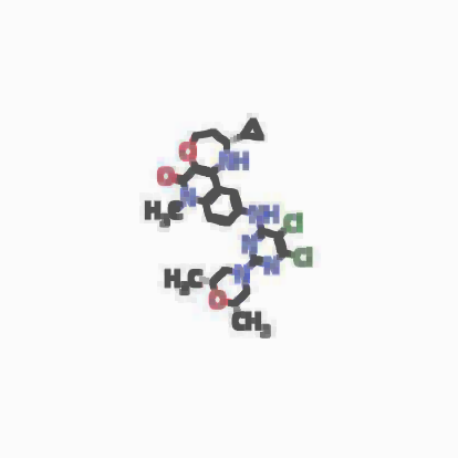 C[C@@H]1CN(c2nc(Cl)c(Cl)c(Nc3ccc4c(c3)c3c(c(=O)n4C)OCC[C@H](C4CC4)N3)n2)C[C@H](C)O1